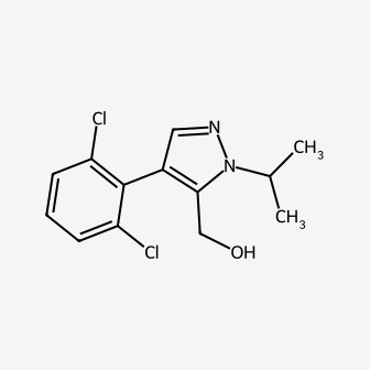 CC(C)n1ncc(-c2c(Cl)cccc2Cl)c1CO